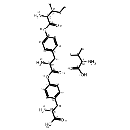 CC(C)[C@H](N)C(=O)O.CC[C@H](C)[C@H](N)C(=O)Oc1ccc(C[C@H](N)C(=O)Oc2ccc(C[C@H](N)C(=O)O)cc2)cc1